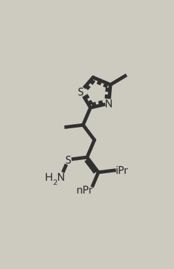 CCC/C(=C(/CC(C)c1nc(C)cs1)SN)C(C)C